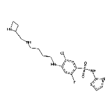 O=S(=O)(Nc1nccs1)c1cc(Cl)c(NCCCCNCC2CCN2)cc1F